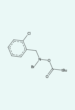 CC(C)(C)C(=O)ON(Br)Cc1ccccc1Cl